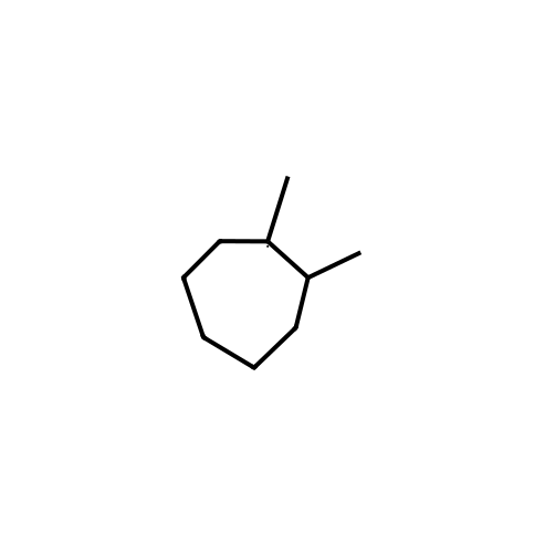 C[C]1CCCCCC1C